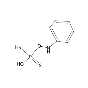 OP(=S)(S)ONc1ccccc1